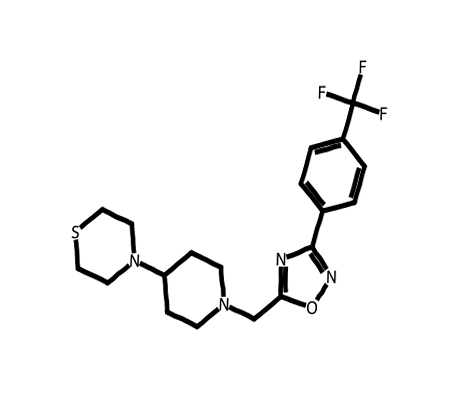 FC(F)(F)c1ccc(-c2noc(CN3CCC(N4CCSCC4)CC3)n2)cc1